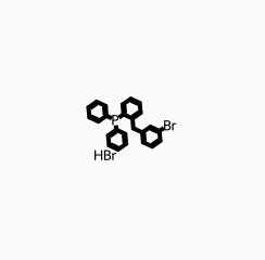 Br.Brc1cccc(Cc2ccccc2P(c2ccccc2)c2ccccc2)c1